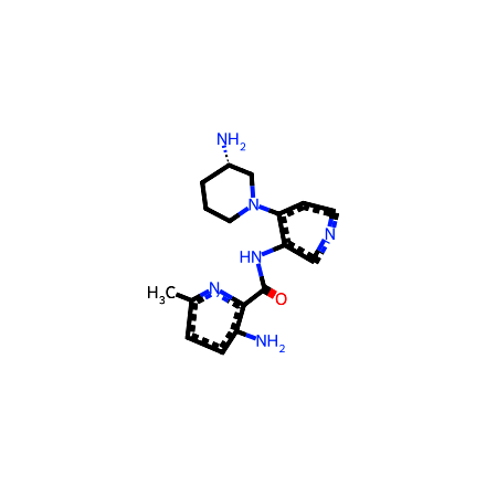 Cc1ccc(N)c(C(=O)Nc2cnccc2N2CCC[C@H](N)C2)n1